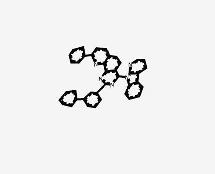 c1ccc(-c2cccc(-c3nc(-n4c5ccccc5c5cccnc54)c4ccc5ccc(-c6ccccc6)nc5c4n3)c2)cc1